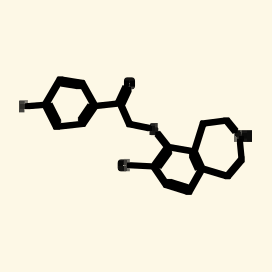 O=C(CSc1c(Cl)ccc2c1CCNCC2)c1ccc(F)cc1